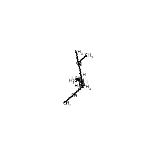 CCCCCCCCCOC(=O)CCCCCCCCC(C)(C)OC(=O)N/C(=N/CCCNCCCCCCCC(=O)OC(CCCCCCCC)CCCCCCCC)NC(=O)OC(C)(C)C